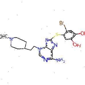 Nc1ncn(CCC2CCN(C=O)CC2)c2nc(Sc3cc(O)c(O)cc3Br)nc1-2